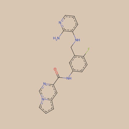 Nc1ncccc1NCc1cc(NC(=O)c2cc3cccn3cn2)ccc1F